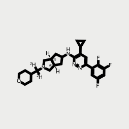 [2H]C([2H])(C1CCOCC1)N1C[C@H]2CC(Nc3nnc(-c4cc(F)cc(F)c4F)cc3C3CC3)C[C@H]2C1